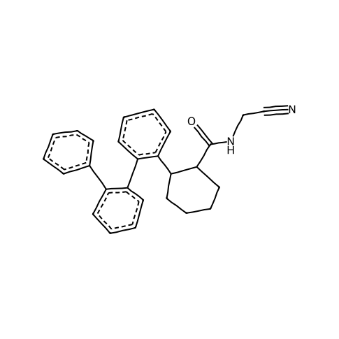 N#CCNC(=O)C1CCCCC1c1ccccc1-c1ccccc1-c1ccccc1